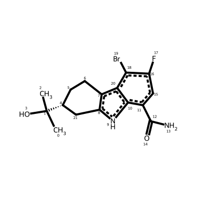 CC(C)(O)[C@@H]1CCc2c([nH]c3c(C(N)=O)cc(F)c(Br)c23)C1